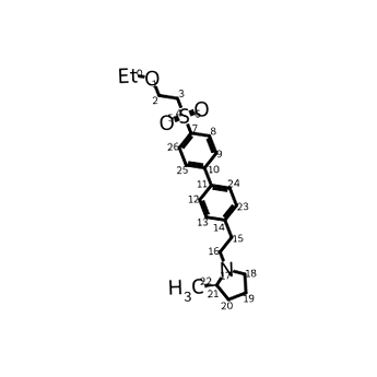 CCOCCS(=O)(=O)c1ccc(-c2ccc(CCN3CCC[C@H]3C)cc2)cc1